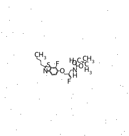 CCCCc1nc2ccc(OC/C(=C\F)CNC(=O)OC(C)(C)C)c(F)c2s1